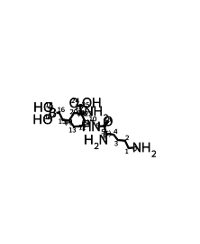 NCCCC[C@H](N)C(=O)NC[C@@H]1CC[C@@H](CCB(O)O)C[C@]1(N)C(=O)O